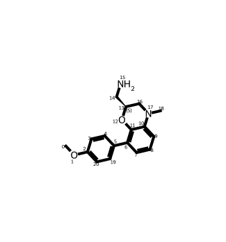 COc1ccc(-c2cccc3c2O[C@@H](CN)CN3C)cc1